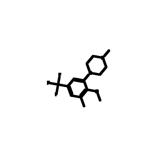 COc1c(C)cc(C(F)(F)F)cc1N1CCN(C)CC1